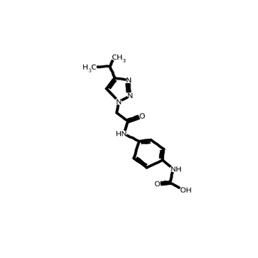 CC(C)c1cn(CC(=O)Nc2ccc(NC(=O)O)cc2)nn1